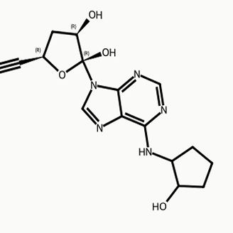 C#C[C@H]1C[C@@H](O)[C@](O)(n2cnc3c(NC4CCCC4O)ncnc32)O1